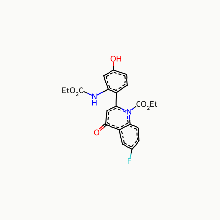 CCOC(=O)Nc1cc(O)ccc1-c1cc(=O)c2cc(F)ccc2n1C(=O)OCC